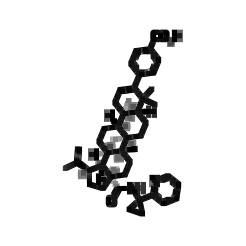 C=C(C)[C@@H]1CC[C@]2(C(=O)NC3(c4ccccn4)CC3)CC[C@]3(C)[C@H](CC[C@@H]4[C@@]5(C)CC=C(c6ccc(C(=O)O)cc6)C(C)(C)[C@@H]5CC[C@]43C)[C@@H]12